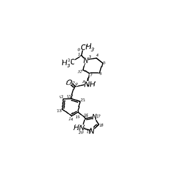 CC(C)N1CCC[C@@H](NC(=O)c2cccc(-c3ncn[nH]3)c2)C1